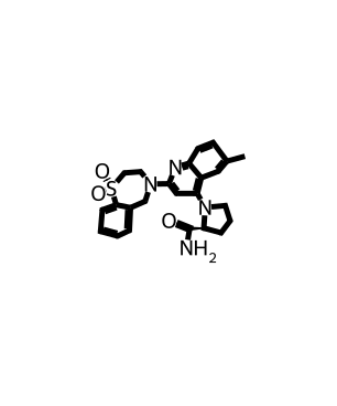 Cc1ccc2nc(N3CCS(=O)(=O)c4ccccc4C3)cc(N3CCC[C@H]3C(N)=O)c2c1